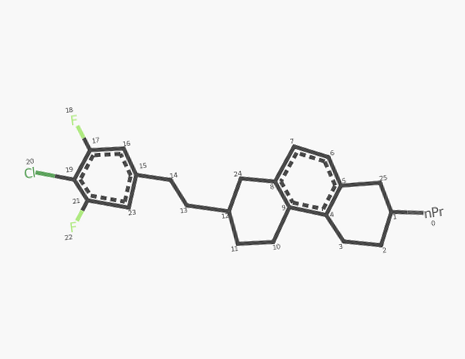 CCCC1CCc2c(ccc3c2CCC(CCc2cc(F)c(Cl)c(F)c2)C3)C1